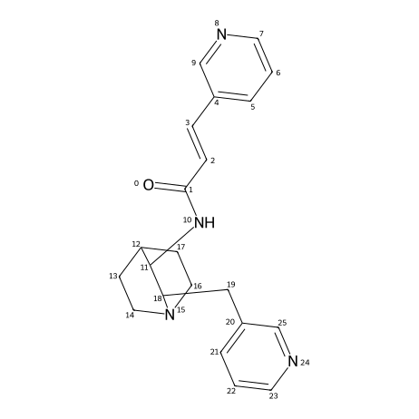 O=C(C=Cc1cccnc1)NC1C2CCN(CC2)C1Cc1cccnc1